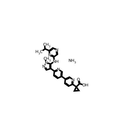 CC(C)c1cncc(Nc2c(-c3ccc(-c4ccc(C5(C(=O)O)CC5)nc4)cn3)cnn2C)n1.N